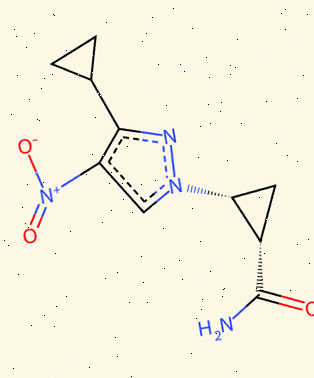 NC(=O)[C@H]1C[C@H]1n1cc([N+](=O)[O-])c(C2CC2)n1